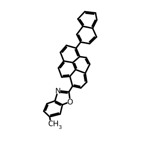 Cc1ccc2nc(-c3ccc4ccc5c(-c6ccc7ccccc7c6)ccc6ccc3c4c65)oc2c1